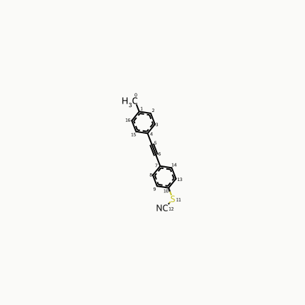 Cc1ccc(C#Cc2ccc(SC#N)cc2)cc1